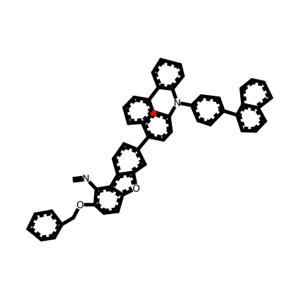 C=Nc1c(OCc2ccccc2)ccc2oc3cc(-c4ccc(N(c5ccc(-c6cccc7ccccc67)cc5)c5ccccc5-c5ccccc5)cc4)ccc3c12